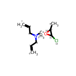 C=CCN(C)CC=C.CC1OC1Cl